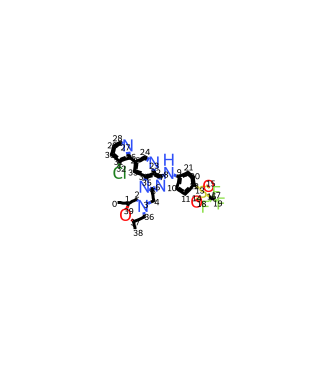 CC1CN(Cc2nc(Nc3ccc(S(=O)(=O)C(F)(F)F)cc3)c3ncc(-c4ncccc4Cl)cc3n2)CC(C)O1